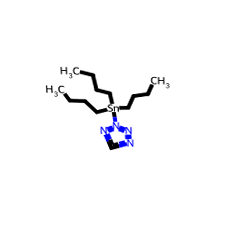 CCC[CH2][Sn]([CH2]CCC)([CH2]CCC)[n]1ncnn1